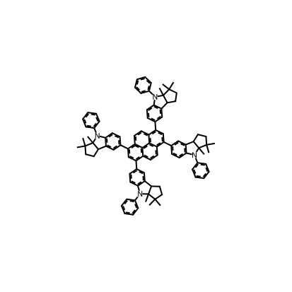 CC1(C)CCC2c3cc(-c4cc(-c5ccc6c(c5)C5CCC(C)(C)C5(C)N6c5ccccc5)c5ccc6c(-c7ccc8c(c7)C7CCC(C)(C)C7(C)N8c7ccccc7)cc(-c7ccc8c(c7)C7CCC(C)(C)C7(C)N8c7ccccc7)c7ccc4c5c76)ccc3N(c3ccccc3)C21C